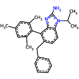 Cc1cc(C)c(-c2c(Cc3ccccc3)ccc3c2nc(N)n3C(C)C)c(C)c1